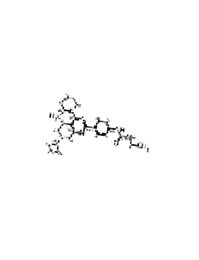 CCNC(=O)Nc1ccc(-c2nc3c(c(N4CCOCC4C)n2)CCN(C2COC2)C3)cc1